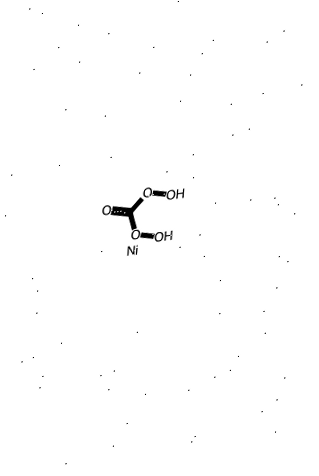 O=C(OO)OO.[Ni]